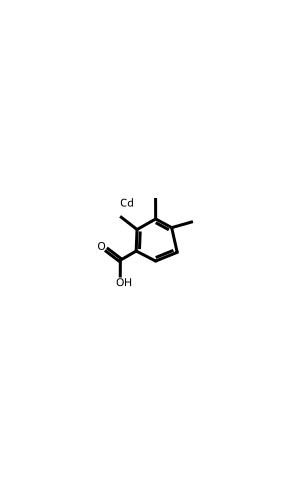 Cc1ccc(C(=O)O)c(C)c1C.[Cd]